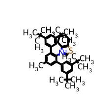 Cc1cc(-c2cc(C(C)(C)C)cc(C(C)(C)C)c2)c(-[n+]2csc3c2CCCC3)c(-c2cc(C(C)(C)C)cc(C(C)(C)C)c2)c1